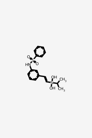 CC(C)[Si](O)(O)/C=C/c1cccc(NS(=O)(=O)c2ccccc2)c1